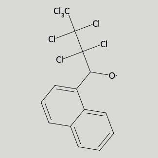 [O]C(c1cccc2ccccc12)C(Cl)(Cl)C(Cl)(Cl)C(Cl)(Cl)Cl